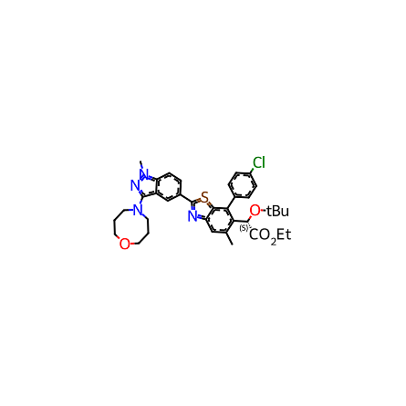 CCOC(=O)[C@@H](OC(C)(C)C)c1c(C)cc2nc(-c3ccc4c(c3)c(N3CCCOCCC3)nn4C)sc2c1-c1ccc(Cl)cc1